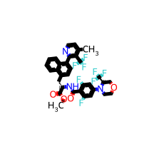 COC(=O)[C@H](Cc1ccc(-c2nccc(C)c2C(F)(F)F)c2ccccc12)NC(=O)c1c(F)cc(N2CCOC[C@@H]2C(F)(F)F)cc1F